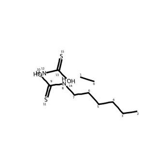 CC.CCCCCCNC(O)=S.NC(O)=S